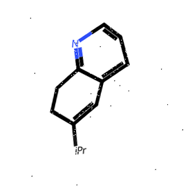 CC(C)C1=Cc2cccnc2CC1